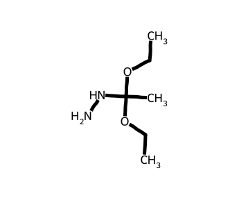 CCOC(C)(NN)OCC